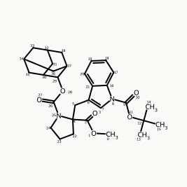 COC(=O)C1(Cc2cn(C(=O)OC(C)(C)C)c3ccccc23)CCCN1C(=O)OC1C2CC3CC(C2)CC1C3